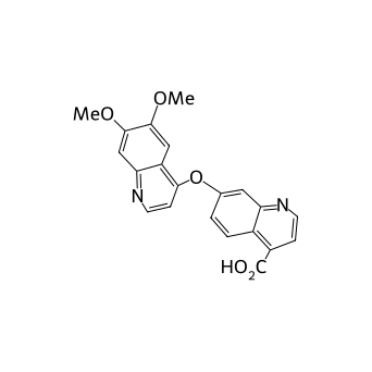 COc1cc2nccc(Oc3ccc4c(C(=O)O)ccnc4c3)c2cc1OC